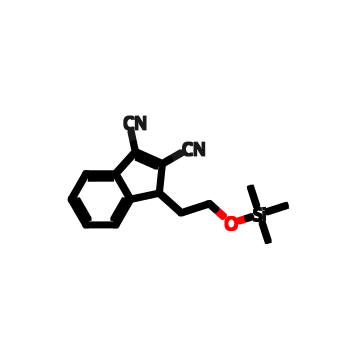 C[Si](C)(C)OCCC1C(C#N)=C(C#N)c2ccccc21